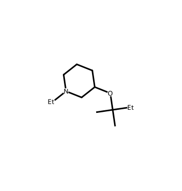 CCN1CCCC(OC(C)(C)CC)C1